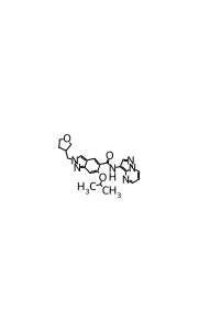 CC(C)Oc1cc2nn(CC3CCOC3)cc2cc1C(=O)Nc1cnn2cccnc12